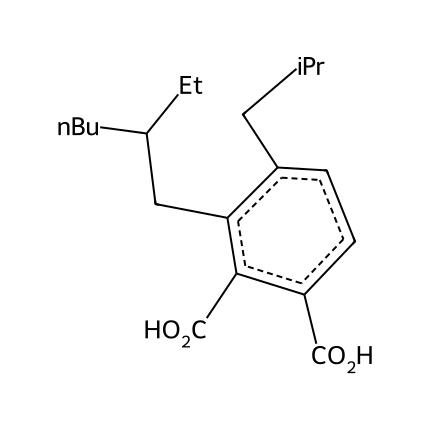 CCCCC(CC)Cc1c(CC(C)C)ccc(C(=O)O)c1C(=O)O